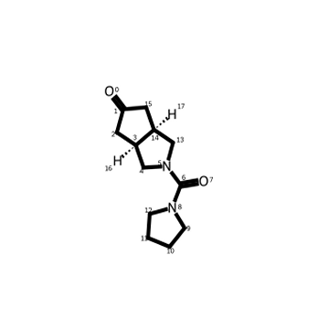 O=C1C[C@@H]2CN(C(=O)N3CCCC3)C[C@@H]2C1